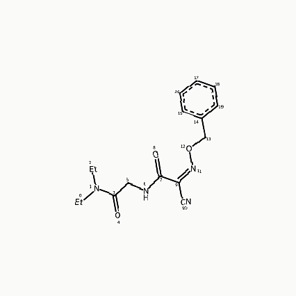 CCN(CC)C(=O)CNC(=O)C(C#N)=NOCc1ccccc1